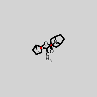 CC(C)C1CC2CCC(C1)N2C(=O)OC1CCCC1